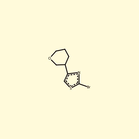 Brc1nc(C2CCCOC2)cs1